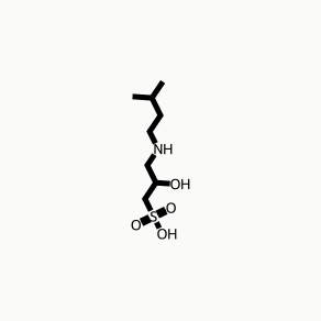 CC(C)CCNCC(O)CS(=O)(=O)O